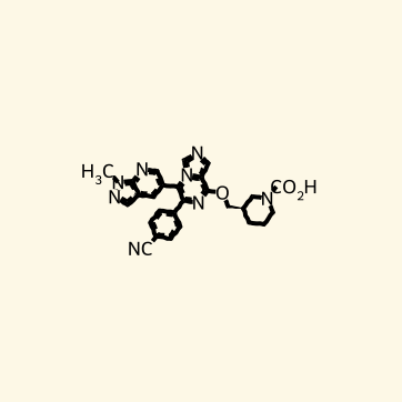 Cn1ncc2cc(-c3c(-c4ccc(C#N)cc4)nc(OC[C@@H]4CCCN(C(=O)O)C4)c4cncn34)cnc21